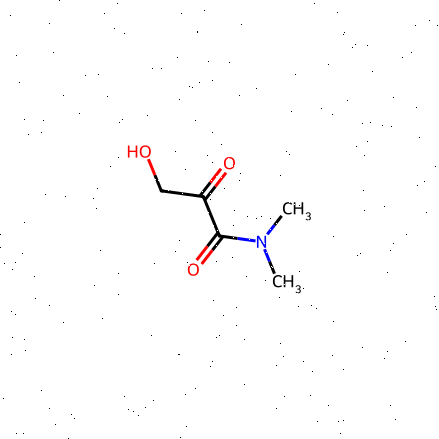 CN(C)C(=O)C(=O)CO